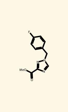 COC(=O)c1ncn(Cc2ccc(F)cc2)n1